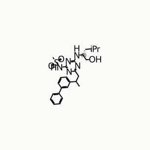 CC(C)C[C@H](CO)Nc1nc(CC(C)c2cccc(-c3ccccc3)c2)nc(NS(C)(=O)=O)n1